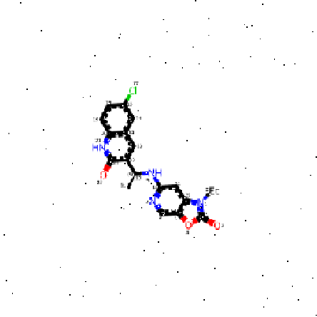 CCn1c(=O)oc2cnc(N[C@@H](C)c3cc4cc(Cl)ccc4[nH]c3=O)cc21